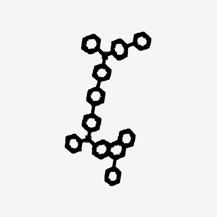 c1ccc(-c2ccc(N(c3ccccc3)c3ccc(-c4ccc(-c5ccc(N(c6ccccc6)c6ccc7c(-c8ccccc8)cc8ccccc8c7c6)cc5)cc4)cc3)cc2)cc1